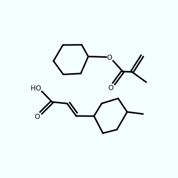 C=C(C)C(=O)OC1CCCCC1.CC1CCC(C=CC(=O)O)CC1